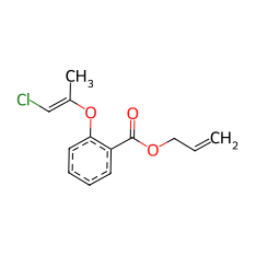 C=CCOC(=O)c1ccccc1OC(C)=CCl